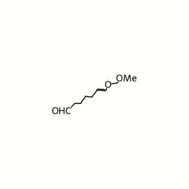 COCOC=CCCCCC=O